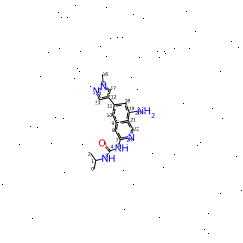 CC(C)NC(=O)Nc1cc2cc(-c3cnn(C)c3)cc(N)c2cn1